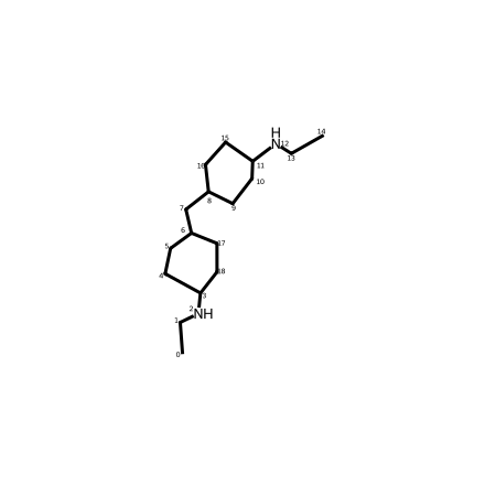 CCNC1CCC(CC2CCC(NCC)CC2)CC1